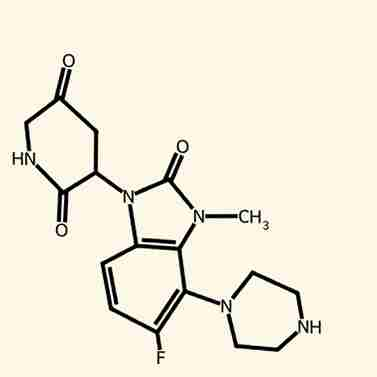 Cn1c(=O)n(C2CC(=O)CNC2=O)c2ccc(F)c(N3CCNCC3)c21